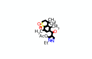 CCn1ncc(C(=O)c2cc(C)c3c(c2C)C(C)(C)CCS3(=O)=O)c1OC(C)=O